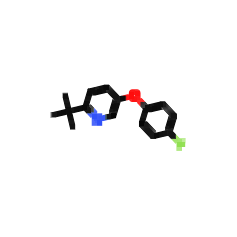 CC(C)(C)c1ccc(Oc2ccc(F)cc2)cn1